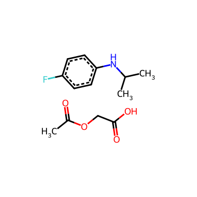 CC(=O)OCC(=O)O.CC(C)Nc1ccc(F)cc1